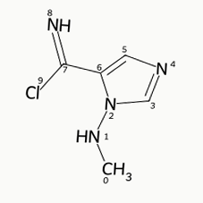 CNn1cncc1C(=N)Cl